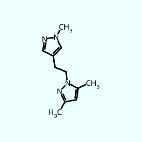 Cc1cc(C)n(CCc2cnn(C)c2)n1